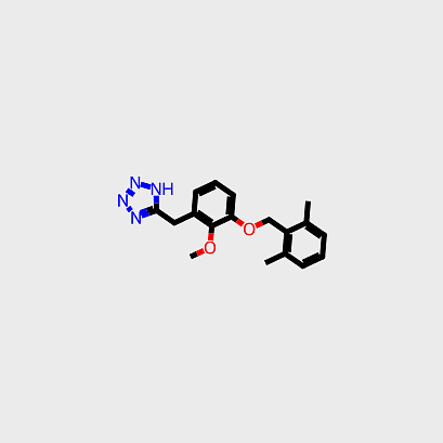 COc1c(Cc2nnn[nH]2)cccc1OCc1c(C)cccc1C